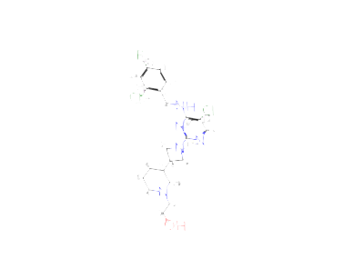 OCCN1CCCC(C2CN(c3ncc(Cl)c(NCc4ccc(F)cc4Cl)n3)C2)C1